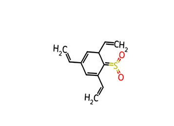 C=CC1=CC(C=C)C(=S(=O)=O)C(C=C)=C1